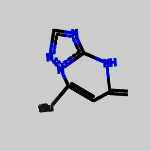 C=C1C=C(C(C)(C)C)n2ncnc2N1